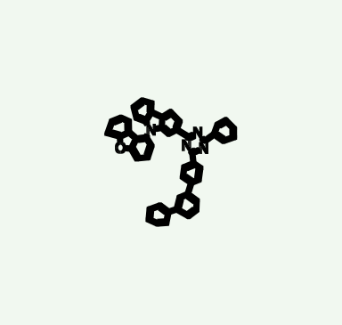 c1ccc(-c2cccc(-c3ccc(-c4nc(-c5ccccc5)nc(-c5ccc6c7ccccc7n(-c7cccc8oc9ccccc9c78)c6c5)n4)cc3)c2)cc1